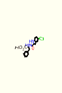 O=C(NC(Cc1ccccc1)C(=O)O)c1cc2cc(Cl)ccc2[nH]1